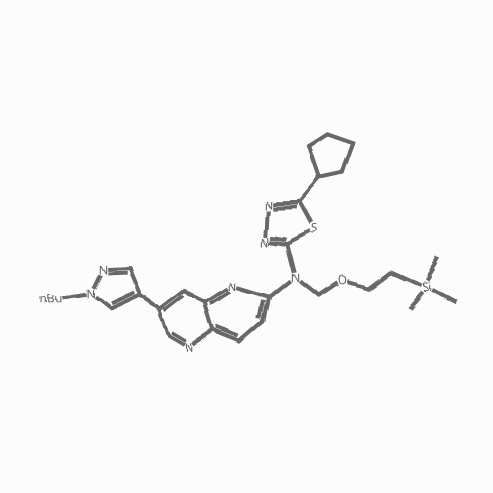 CCCCn1cc(-c2cnc3ccc(N(COCC[Si](C)(C)C)c4nnc(C5CCCC5)s4)nc3c2)cn1